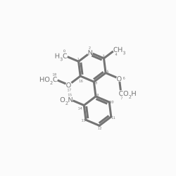 Cc1nc(C)c(OC(=O)O)c(-c2ccccc2[N+](=O)[O-])c1OC(=O)O